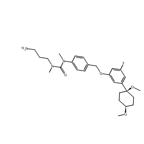 CO[C@H]1CC[C@](OC)(c2cc(F)cc(OCc3ccc(N(C)C(=O)N(C)CCCN)cc3)c2)CC1